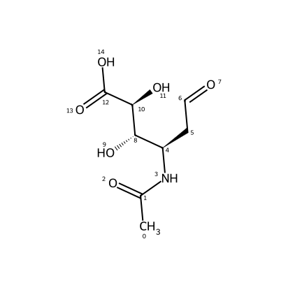 CC(=O)N[C@H](CC=O)[C@H](O)[C@H](O)C(=O)O